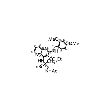 CCCCC(C)(CNC(C)=O)Nc1c(C(=O)OCC)c(NCc2ccc(OC)cc2OC)nc2cccnc12